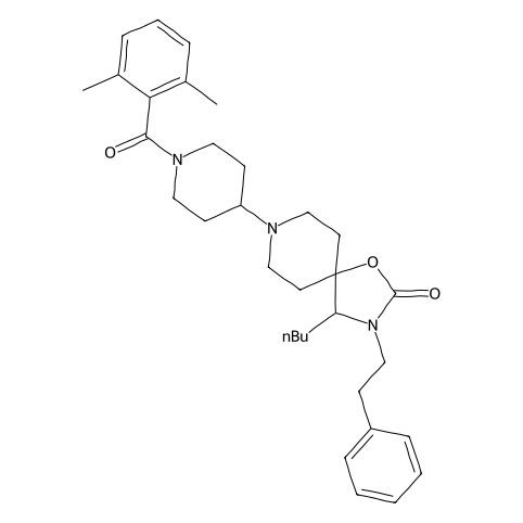 CCCCC1N(CCc2ccccc2)C(=O)OC12CCN(C1CCN(C(=O)c3c(C)cccc3C)CC1)CC2